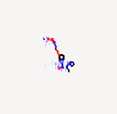 CCc1nc(C(N)=O)c(Nc2cccc(OCCCNC(=O)C(C)OC(=O)NC)c2)nc1N1CCCC1